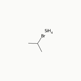 CC(C)Br.[SiH4]